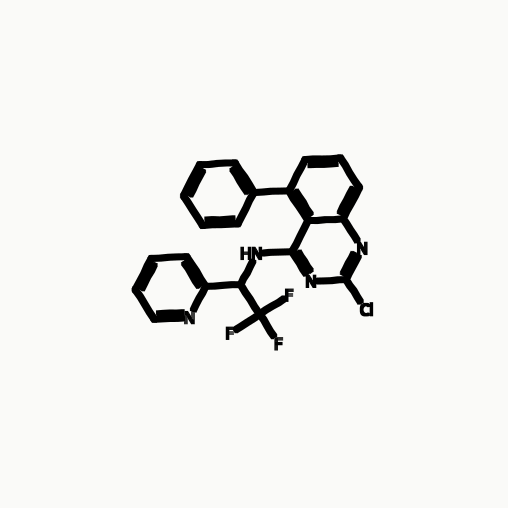 FC(F)(F)C(Nc1nc(Cl)nc2cccc(-c3ccccc3)c12)c1ccccn1